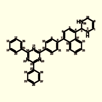 C1=CNC(c2ccc(-c3ccc(-c4nc(-c5ccccc5)nc(-c5ccccc5)n4)cc3)c3ccccc23)NC1